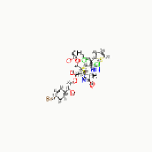 CC(=O)OCC1=C(C(=O)OCC(=O)c2ccc(Br)cc2)N2C(=O)[C@@H]3NC(Cl)(C(Cl)c4cccs4)C1S[C@@H]32